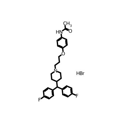 Br.CC(=O)Nc1ccc(OCCCN2CCC(C(c3ccc(F)cc3)c3ccc(F)cc3)CC2)cc1